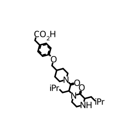 CC(C)CC1NCCN(C(CC(C)C)C(=O)N2CCC(COc3ccc(CC(=O)O)cc3)CC2)C1=O